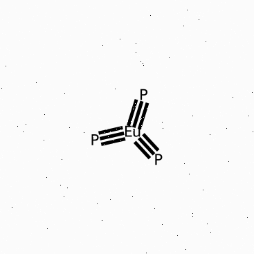 [P]#[Eu](#[P])#[P]